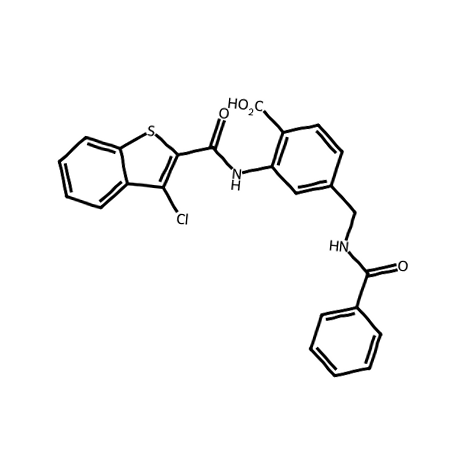 O=C(NCc1ccc(C(=O)O)c(NC(=O)c2sc3ccccc3c2Cl)c1)c1ccccc1